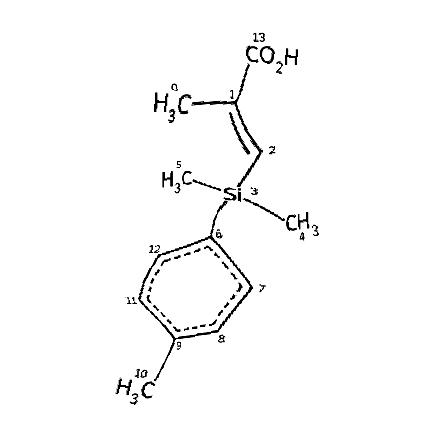 CC(=C[Si](C)(C)c1ccc(C)cc1)C(=O)O